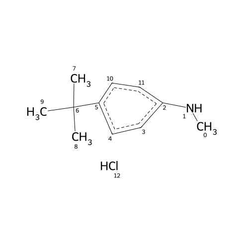 CNc1ccc(C(C)(C)C)cc1.Cl